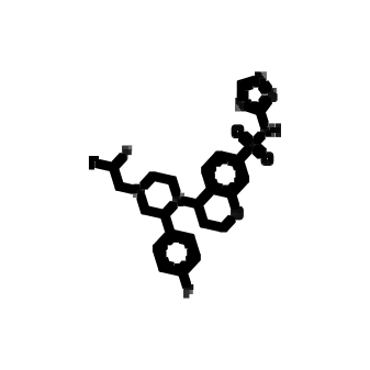 O=S(=O)(Nc1ncns1)c1ccc2c(c1)OCCC2N1CCN(CC(F)F)CC1c1ccc(F)cc1